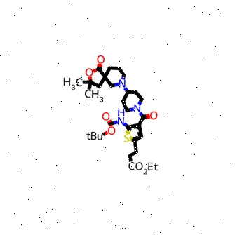 CCOC(=O)CCc1cc(C(=O)N2CCC(N3CCCC4(C3)CC(C)(C)OC4=O)CC2)c(NC(=O)OC(C)(C)C)s1